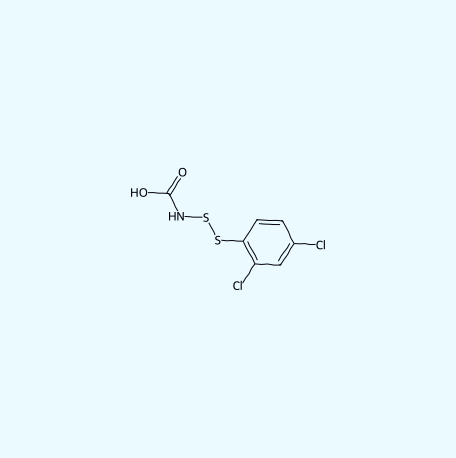 O=C(O)NSSc1ccc(Cl)cc1Cl